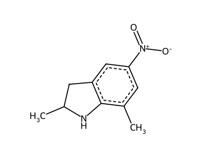 Cc1cc([N+](=O)[O-])cc2c1NC(C)C2